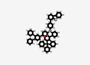 c1ccc(-c2ccc(-c3ccc(N(c4ccc(-c5cccc6c5oc5ccccc56)cc4)c4ccccc4-c4cccc5c4-c4ccccc4C5(c4ccccc4)c4ccccc4)cc3)cc2-c2ccccc2)cc1